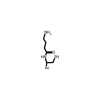 CC(=O)C(CS)NC(=O)CCCN